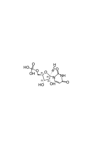 C#C[C@@]1(n2ccc(=O)[nH]c2=O)O[C@H](COP(=O)(O)O)[C@@H](O)[C@H]1O